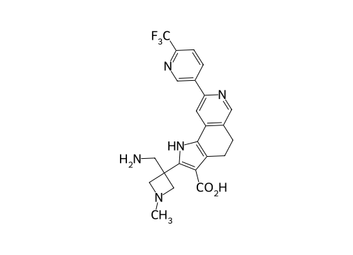 CN1CC(CN)(c2[nH]c3c(c2C(=O)O)CCc2cnc(-c4ccc(C(F)(F)F)nc4)cc2-3)C1